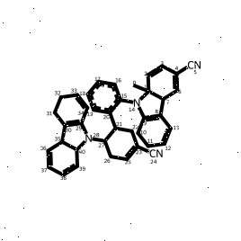 CC12C=CC(C#N)=CC1C1=C(CCC=C1)N2c1ccccc1C1CC(C#N)=CCC1N1C2=C(CCC=C2)C2C=CC=CC21